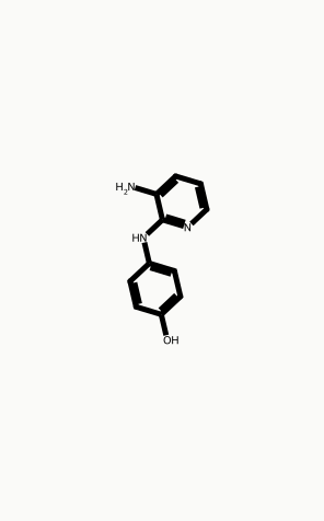 Nc1cccnc1Nc1ccc(O)cc1